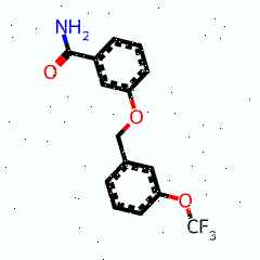 NC(=O)c1cccc(OCc2cccc(OC(F)(F)F)c2)c1